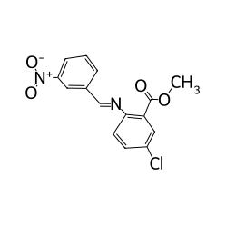 COC(=O)c1cc(Cl)ccc1N=Cc1cccc([N+](=O)[O-])c1